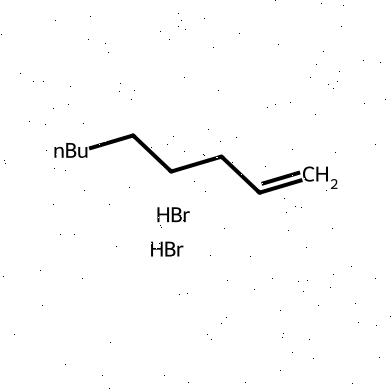 Br.Br.C=CCCCCCCC